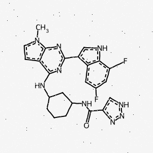 Cn1ccc2c(NC3CCCC(NC(=O)c4c[nH]nn4)C3)nc(-c3c[nH]c4c(F)cc(F)cc34)nc21